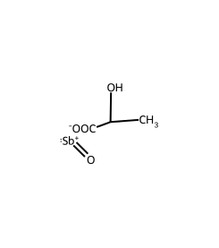 CC(O)C(=O)[O-].[O]=[Sb+]